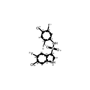 O=S(=O)(Nc1cc(F)c(Cl)cc1F)c1c[nH]c2cc(Cl)c(F)cc12